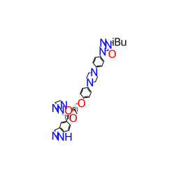 CCC(C)n1ncn(-c2ccc(N3CCN(c4ccc(OC[C@@H]5CO[C@@](Cn6nccn6)(c6ccc7[nH]ncc7c6)O5)cc4)CC3)cc2)c1=O